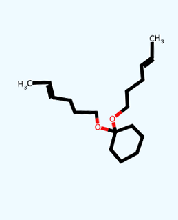 CC=CCCCOC1(OCCCC=CC)CCCCC1